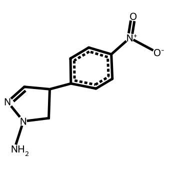 NN1CC(c2ccc([N+](=O)[O-])cc2)C=N1